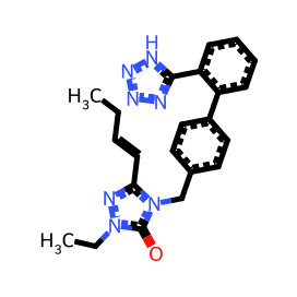 CCC=Cc1nn(CC)c(=O)n1Cc1ccc(-c2ccccc2-c2nnn[nH]2)cc1